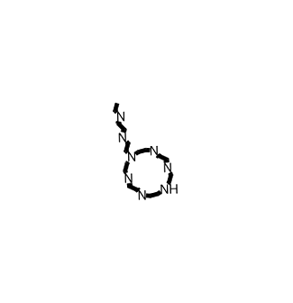 CC/N=C/C=N/CCN1CC/N=C/C=N/CCNCC/N=C/C=N/CC1